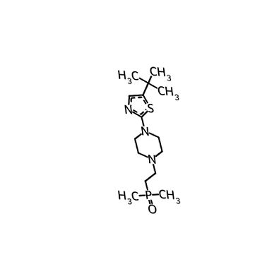 CC(C)(C)c1cnc(N2CCN(CCP(C)(C)=O)CC2)s1